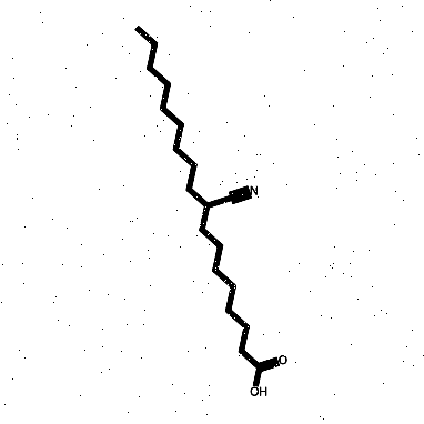 CCCCCCCCCC(C#N)CCCCCCCC(=O)O